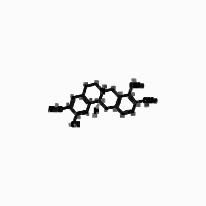 COc1cc2c(cc1C#N)[C@@H]1Cc3ccc(OC)c(OC)c3CN1CC2